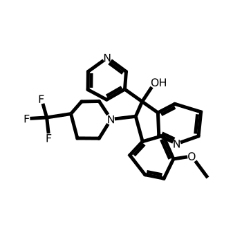 COc1cccc(C(N2CCC(C(F)(F)F)CC2)C(O)(c2cccnc2)c2cccnc2)c1